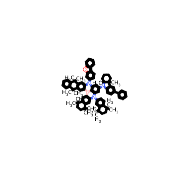 CC1(C)CCC(C)(C)c2cc(N3c4cc5c(cc4B4c6cc7c(cc6N(c6ccc8c(c6)oc6ccccc68)c6cc(N8c9ccc(-c%10ccccc%10)cc9C9(C)CCCCC89C)cc3c64)C(C)(C)c3ccccc3C7(C)C)C(C)(C)CCC5(C)C)ccc21